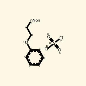 CCCCCCCCCCCOc1ccccc1.O=S(=O)(Cl)Cl